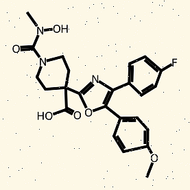 COc1ccc(-c2oc(C3(C(=O)O)CCN(C(=O)N(C)O)CC3)nc2-c2ccc(F)cc2)cc1